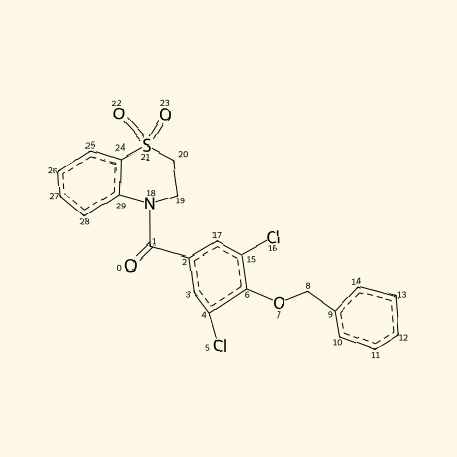 O=C(c1cc(Cl)c(OCc2ccccc2)c(Cl)c1)N1CCS(=O)(=O)c2ccccc21